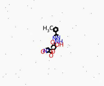 Cc1cccc(-c2cnc(NC(=O)[C@]3(O)CC[C@@]4(CC3)OC(=O)c3c[n+]([O-])ccc34)nc2)c1